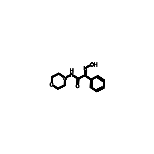 O=C(NN1CCOCC1)C(=NO)c1ccccc1